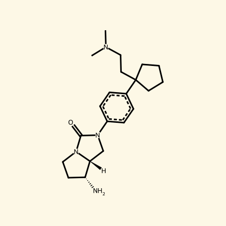 CN(C)CCC1(c2ccc(N3C[C@@H]4[C@H](N)CCN4C3=O)cc2)CCCC1